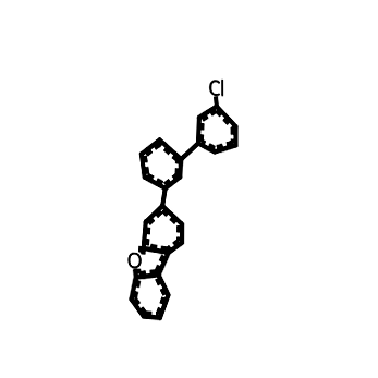 Clc1cccc(-c2cccc(-c3ccc4c(c3)oc3ccccc34)c2)c1